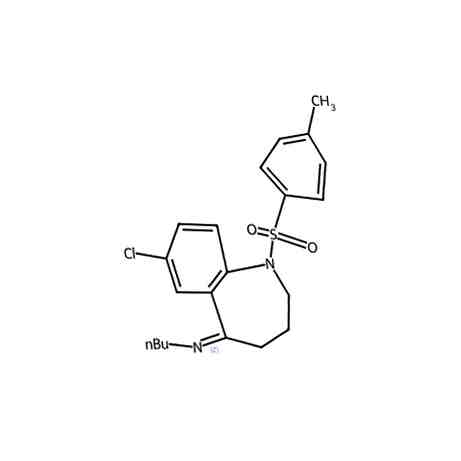 CCCC/N=C1/CCCN(S(=O)(=O)c2ccc(C)cc2)c2ccc(Cl)cc21